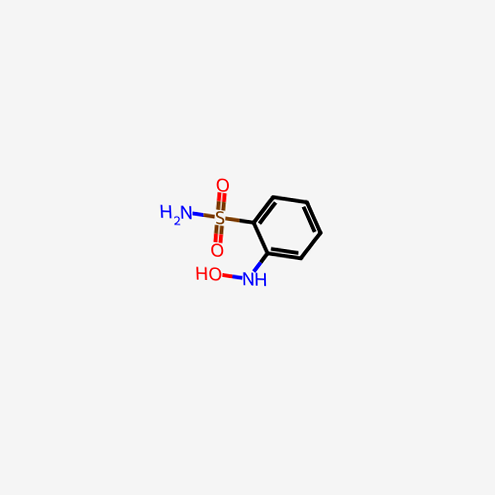 NS(=O)(=O)c1ccccc1NO